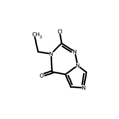 CCn1c(Cl)nn2cncc2c1=O